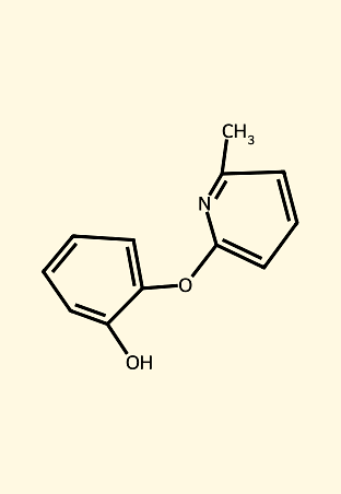 Cc1cccc(Oc2ccccc2O)n1